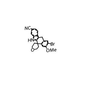 COc1cc2c(cc1Br)Cc1c([nH]c3cc(C#N)ccc13)C21CCOCC1